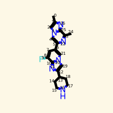 Cc1cn2cc(-c3cc(F)c4nc(C5CCNCC5)cn4c3)nc(C)c2n1